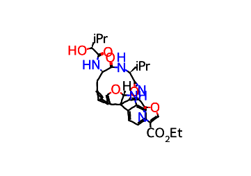 CCOC(=O)c1coc(-c2nc3oc2C24c5ccccc5N[C@H]2Oc2ccc(cc24)C[C@H](NC(=O)[C@@H](O)C(C)C)C(=O)N[C@H]3C(C)C)n1